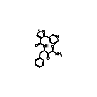 NC(=O)C(=O)C(Cc1ccccc1)NC(=O)c1csnc1-c1cccnc1